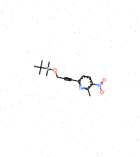 Cc1nc(C#CCO[Si](C)(C)C(C)(C)C)ccc1[N+](=O)[O-]